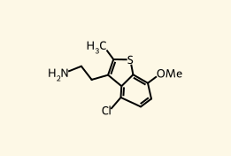 COc1ccc(Cl)c2c(CCN)c(C)sc12